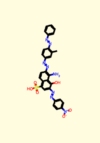 Cc1cc(/N=N/c2ccc3c(S(=O)(=O)O)cc(/N=N/c4ccc([N+](=O)[O-])cc4)c(O)c3c2N)ccc1/N=N/c1ccccc1